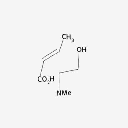 C/C=C/C(=O)O.CNCCO